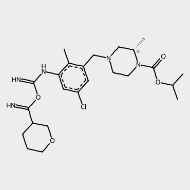 Cc1c(CN2CCN(C(=O)OC(C)C)[C@@H](C)C2)cc(Cl)cc1NC(=N)OC(=N)C1CCCOC1